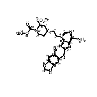 CCOC(=O)[C@H]1C[C@@H](CCn2cnc(N)c3nc(Sc4cc5c(cc4Br)OCO5)nc2-3)CCN1C(=O)OC(C)(C)C